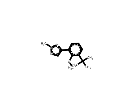 COc1c(-c2cnn(C)n2)cccc1C(C)(C)C